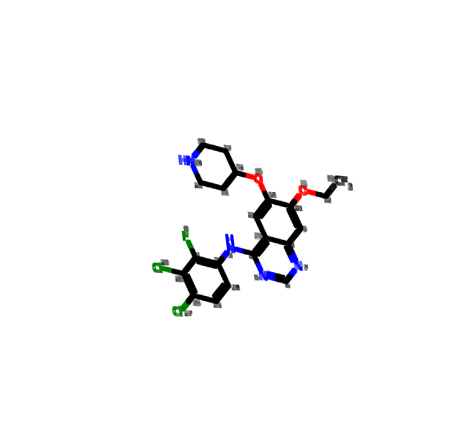 Fc1c(Nc2ncnc3cc(OCC(F)(F)F)c(OC4CCNCC4)cc23)ccc(Cl)c1Cl